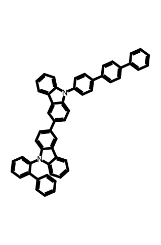 c1ccc(-c2ccc(-c3ccc(-n4c5ccccc5c5cc(-c6ccc7c(c6)c6ccccc6n7-c6ccccc6-c6ccccc6)ccc54)cc3)cc2)cc1